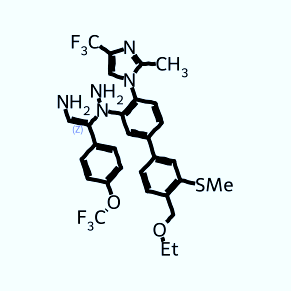 CCOCc1ccc(-c2ccc(-n3cc(C(F)(F)F)nc3C)c(N(N)/C(=C\N)c3ccc(OC(F)(F)F)cc3)c2)cc1SC